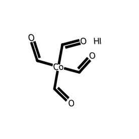 I.O=[CH][Co]([CH]=O)([CH]=O)[CH]=O